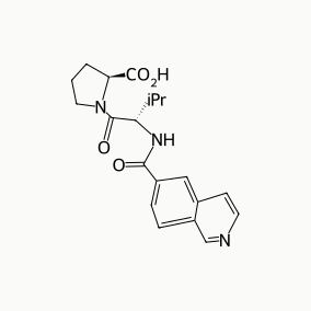 CC(C)[C@H](NC(=O)c1ccc2cnccc2c1)C(=O)N1CCC[C@H]1C(=O)O